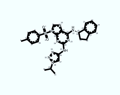 Cc1ccc(S(=O)(=O)n2cnc3c(N[C@H]4CCc5ccccc54)nc(Nc4cn(C(C)C)nn4)nc32)cc1